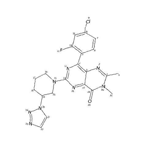 Cc1nc2c(-c3ccc(Cl)cc3F)nc(N3CCCC(n4ccnn4)C3)nc2c(=O)n1C